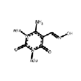 CCCCn1c(N)c(C=NO)c(=O)n(CCCC)c1=O